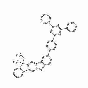 CCC1(C)c2ccccc2-c2cc3oc4ccc(-c5ccc(-c6nc(-c7ccccc7)nc(-c7ccccc7)n6)cc5)cc4c3cc21